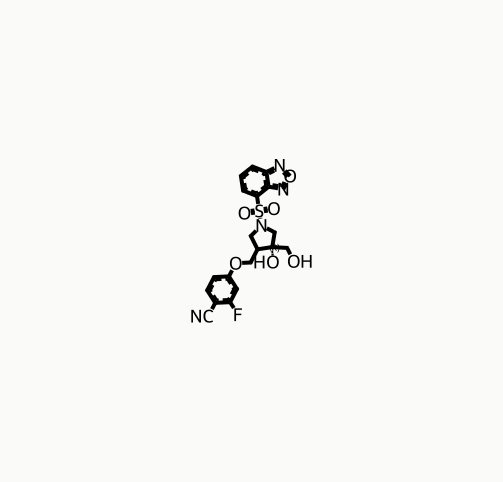 N#Cc1ccc(OCC2CN(S(=O)(=O)c3cccc4nonc34)C[C@@]2(O)CO)cc1F